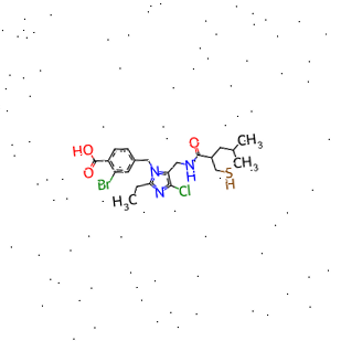 CCc1nc(Cl)c(CNC(=O)C(CS)CC(C)C)n1Cc1ccc(C(=O)O)c(Br)c1